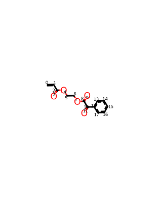 C=CC(=O)OCCOC(=O)C(=O)c1ccccc1